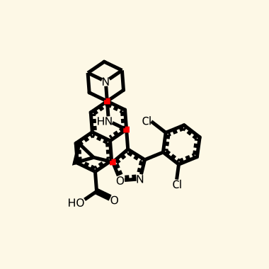 O=C(O)c1ccc2cc(N3C4CC(NCc5c(-c6c(Cl)cccc6Cl)noc5C5CC5)CC3C4)ccc2c1